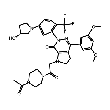 COc1cc(OC)cc(-c2nn(-c3cc(N4CC[C@H](O)C4)ccc3C(F)(F)F)c(=O)c3c2CCN3CC(=O)N2CCN(C(C)=O)CC2)c1